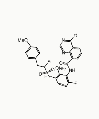 CCC(Cc1ccc(OC)cc1)S(=O)(=O)Nc1ccc(F)c(NC(=O)c2cccc3c(Cl)ncnc23)c1OC